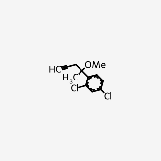 C#CCC(C)(OC)c1ccc(Cl)cc1Cl